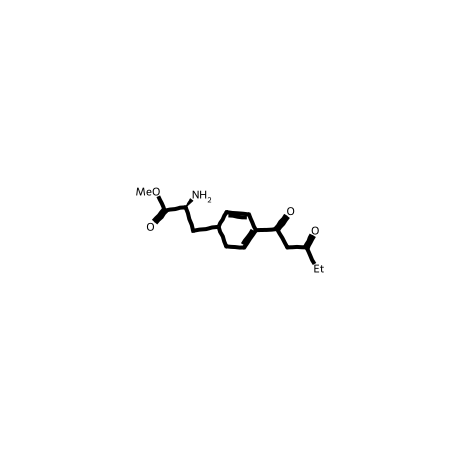 CCC(=O)CC(=O)C1=CCC(C[C@H](N)C(=O)OC)C=C1